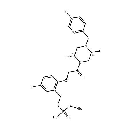 CCC(C)OP(=O)(O)CCc1cc(Cl)ccc1OCC(=O)N1C[C@H](C)N(Cc2ccc(F)cc2)C[C@H]1C